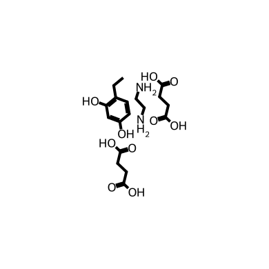 CCc1ccc(O)cc1O.NCCN.O=C(O)CCC(=O)O.O=C(O)CCC(=O)O